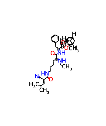 CCN[C@@H](CCCCNC(=O)C(C#N)=CC(C)C)C(=O)N[C@@H](Cc1ccccc1)B1O[C@@H]2C[C@@H]3C[C@@H](C3(C)C)[C@]2(C)O1